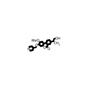 COc1cc2c(cc1OCc1ccncc1)oc(=O)c1cc(C(C)CO)ccc12